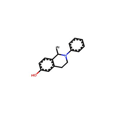 CC(C)C1c2ccc(O)cc2CCN1c1ccccc1